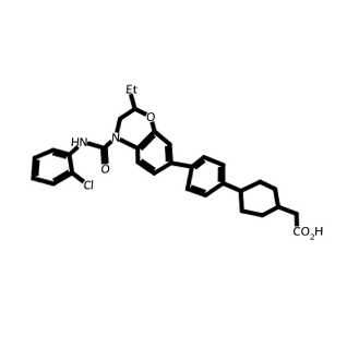 CCC1CN(C(=O)Nc2ccccc2Cl)c2ccc(-c3ccc(C4CCC(CC(=O)O)CC4)cc3)cc2O1